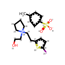 Cc1ccc(S(=O)(=O)[O-])cc1.OCC[N+]1(CCc2ccc(I)s2)CCCC1